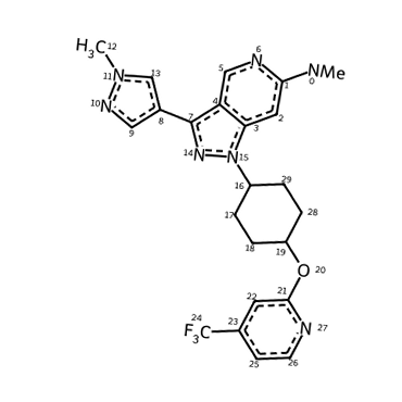 CNc1cc2c(cn1)c(-c1cnn(C)c1)nn2C1CCC(Oc2cc(C(F)(F)F)ccn2)CC1